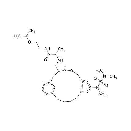 CC(C)OCCNC(=O)[C@H](C)NCC1Cc2cccc(c2)CCCCc2cc(cc(N(C)S(=O)(=O)N(C)C)c2)CON1